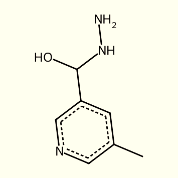 Cc1cncc(C(O)NN)c1